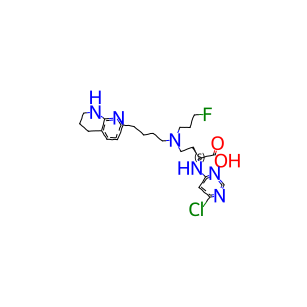 O=C(O)[C@H](CCN(CCCF)CCCCc1ccc2c(n1)NCCC2)Nc1cc(Cl)ncn1